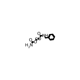 NC(=O)OOOC(=O)NCc1ccccc1